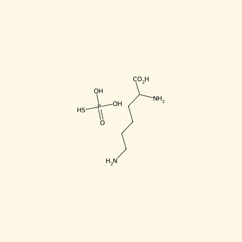 NCCCCC(N)C(=O)O.O=P(O)(O)S